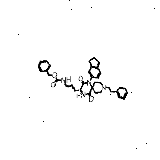 O=C(NCCC[C@@H]1NC(=O)C2(CCN(CCc3ccccc3)CC2)N(c2ccc3c(c2)CCC3)C1=O)OCc1ccccc1